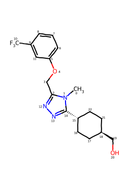 Cn1c(COc2cccc(C(F)(F)F)c2)nnc1[C@H]1CC[C@H](CO)CC1